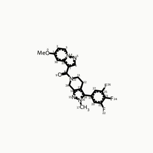 COc1ccn2ncc(C(=O)N3CCc4c(nn(C)c4-c4cc(F)c(F)c(F)c4)C3)c2c1